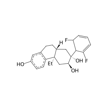 CC[C@@]12C[C@H](O)[C@](O)(C3C(F)=CC=CC3F)C[C@H]1CCc1cc(O)ccc12